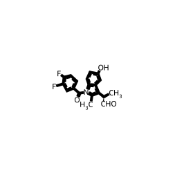 Cc1c([C@H](C)C=O)c2cc(O)ccc2n1C(=O)c1ccc(F)c(F)c1